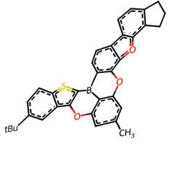 Cc1cc2c3c(c1)Oc1c(ccc4c1oc1c5c(ccc14)CCC5)B3c1sc3ccc(C(C)(C)C)cc3c1O2